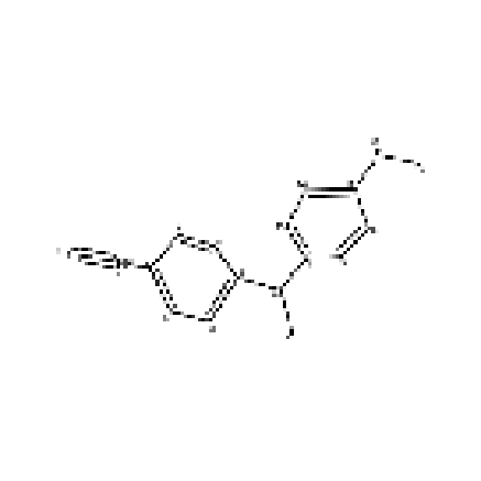 [C-]#[N+]c1ccc(C(C)c2ccc(SC)cc2)cc1